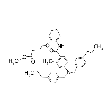 CCCc1ccc(CN(Cc2ccc(CCC)cc2)c2ccc(C(=O)Nc3ccccc3OCCCC(=O)OCC)c(C)c2)cc1